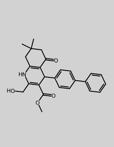 COC(=O)C1=C(CO)NC2=C(C(=O)CC(C)(C)C2)C1c1ccc(-c2ccccc2)cc1